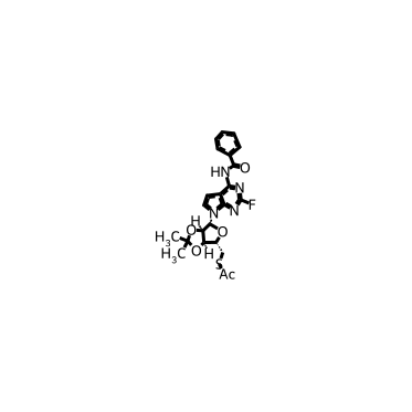 CC(=O)SC[C@H]1O[C@@H](n2ccc3c(NC(=O)c4ccccc4)nc(F)nc32)[C@@H]2OC(C)(C)O[C@@H]21